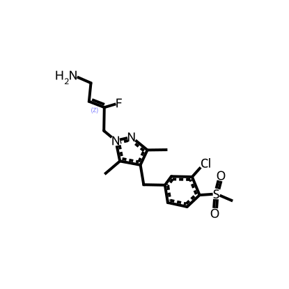 Cc1nn(C/C(F)=C/CN)c(C)c1Cc1ccc(S(C)(=O)=O)c(Cl)c1